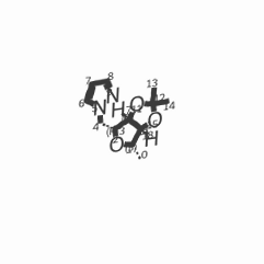 C[C@@H]1O[C@H](Cn2cccn2)[C@H]2OC(C)(C)O[C@H]21